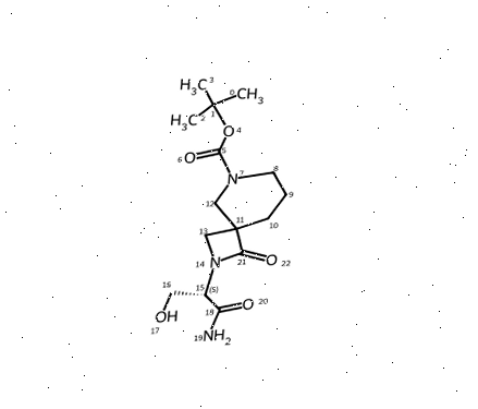 CC(C)(C)OC(=O)N1CCCC2(C1)CN([C@@H](CO)C(N)=O)C2=O